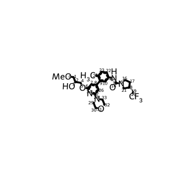 COCC(O)COc1cc(-c2cc(NC(=O)N3CC[C@H](CC(F)(F)F)C3)ccc2C)cc(N2CCOCC2)n1